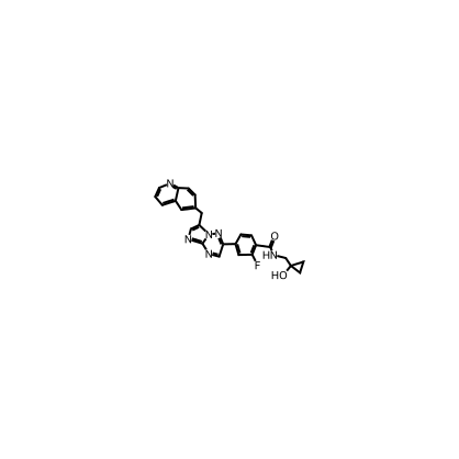 O=C(NCC1(O)CC1)c1ccc(-c2cnc3ncc(Cc4ccc5ncccc5c4)n3n2)cc1F